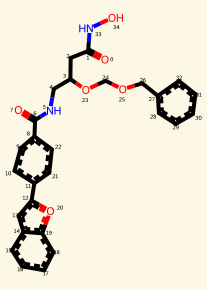 O=C(CC(CNC(=O)c1ccc(-c2cc3ccccc3o2)cc1)OCOCc1ccccc1)NO